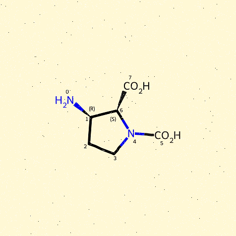 N[C@@H]1CCN(C(=O)O)[C@@H]1C(=O)O